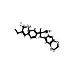 CCc1cc2ccc(C(C)(C#N)Cc3ccc4c(c3)OCCO4)cc2[nH]c1=O